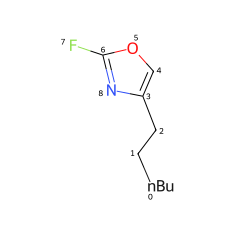 [CH2]CCCCCc1coc(F)n1